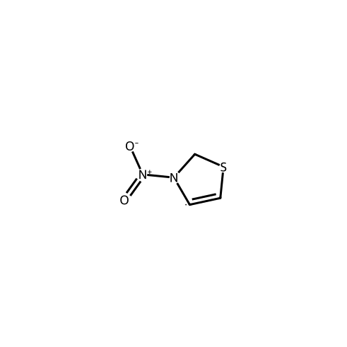 O=[N+]([O-])N1[C]=CSC1